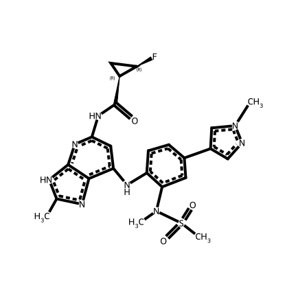 Cc1nc2c(Nc3ccc(-c4cnn(C)c4)cc3N(C)S(C)(=O)=O)cc(NC(=O)[C@H]3C[C@H]3F)nc2[nH]1